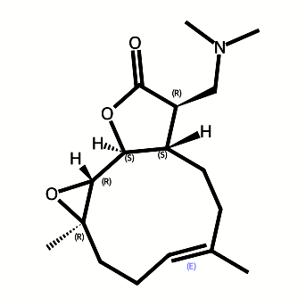 C/C1=C\CC[C@@]2(C)O[C@@H]2[C@H]2OC(=O)[C@@H](CN(C)C)[C@@H]2CC1